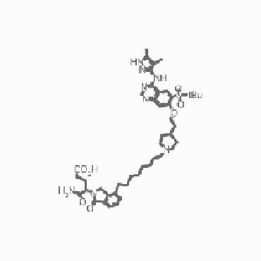 Cc1[nH]nc(Nc2ncnc3cc(OCCC4CCN(CCCCCCCCc5cccc6c5CN(C(CCC(=O)O)C(N)=O)C6=O)CC4)c(S(=O)(=O)C(C)(C)C)cc23)c1C